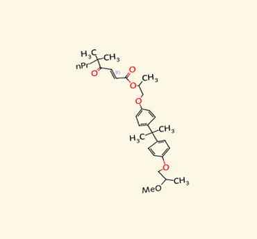 CCCC(C)(C)C(=O)/C=C/C(=O)OC(C)COc1ccc(C(C)(C)c2ccc(OCC(C)OC)cc2)cc1